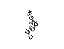 CC(C)(C)OC(=O)N1CCC(C(=O)NCCC2C(Nc3nccc(N4CCCCCC4)n3)CCCN2C2CCSCC2)CC1